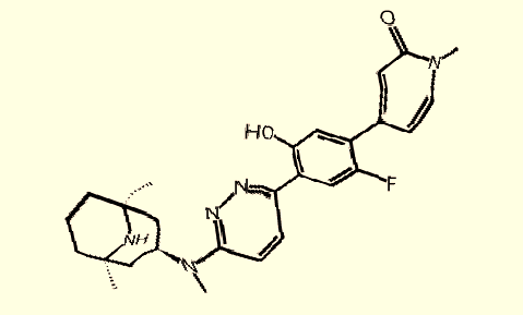 CN(c1ccc(-c2cc(F)c(-c3ccn(C)c(=O)c3)cc2O)nn1)[C@@H]1C[C@]2(C)CCC[C@](C)(C1)N2